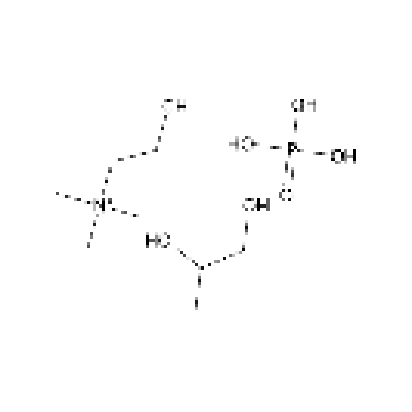 CC(O)CO.C[N+](C)(C)CCO.O=P(O)(O)O